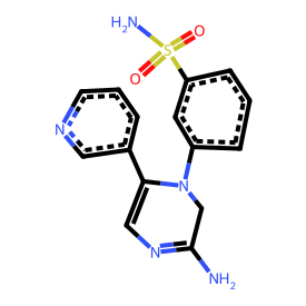 NC1=NC=C(c2cccnc2)N(c2cccc(S(N)(=O)=O)c2)C1